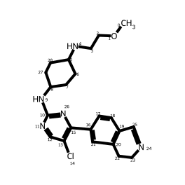 COCCNC1CCC(Nc2ncc(Cl)c(-c3ccc4c(c3)CCN=C4)n2)CC1